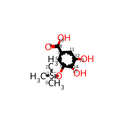 C[Si](C)(C)Oc1cc(C(=O)O)cc(O)c1O